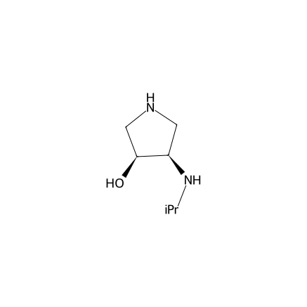 CC(C)N[C@@H]1CNC[C@@H]1O